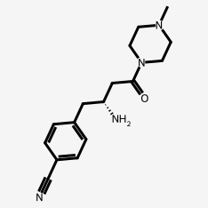 CN1CCN(C(=O)C[C@H](N)Cc2ccc(C#N)cc2)CC1